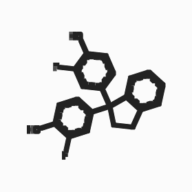 Oc1ccc(C2(c3ccc(O)c(F)c3)CCc3ccccc32)cc1F